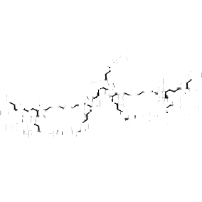 CC(C)(C)OC(=O)CCC(=O)NC(CCC(=O)NC(CCCCNC(=O)OC(C)(C)C)C(=O)NCCOCCOCC(=O)NC(CCC(=O)NC(CCC(=O)O)C(=O)O)C(=O)NC(CC(O)C=O)C(=O)O)C(=O)NC(CCCCNC(=O)OC(C)(C)C)C(=O)NCCOCCOCC(O)NC(CCC(=O)NC(CCC(=O)O)C(=O)O)C(=O)NC(CCC(=O)O)C(=O)O